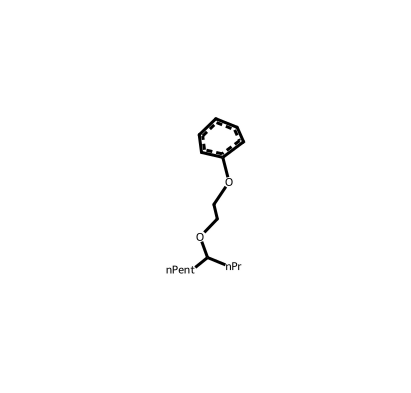 CCCCCC(CCC)OCCOc1ccccc1